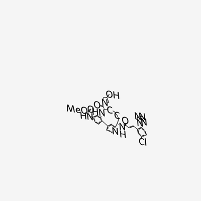 COC(=O)Nc1ccc2c(c1)N[C@@H](C(=O)N1CC(O)C1)CCCC[C@H](NC(=O)/C=C/c1cc(Cl)ccc1-n1cnnn1)c1cc-2ccn1